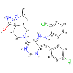 CC(C)NC1(C(N)=O)CCN(c2ncnc3c(-c4ccc(Cl)cc4)n(-c4ccccc4Cl)nc23)CC1